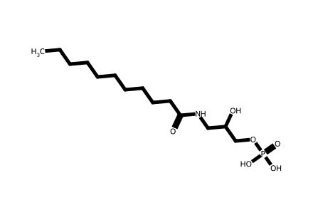 CCCCCCCCCCC(=O)NCC(O)COP(=O)(O)O